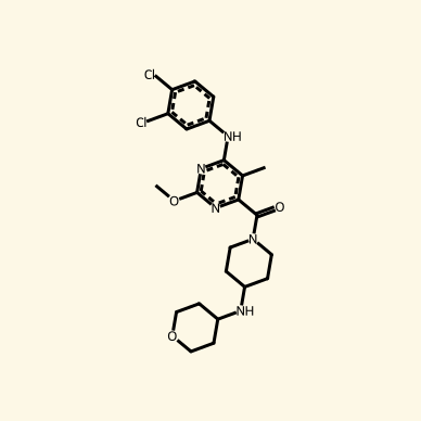 COc1nc(Nc2ccc(Cl)c(Cl)c2)c(C)c(C(=O)N2CCC(NC3CCOCC3)CC2)n1